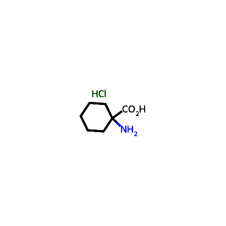 Cl.NC1(C(=O)O)CCCCC1